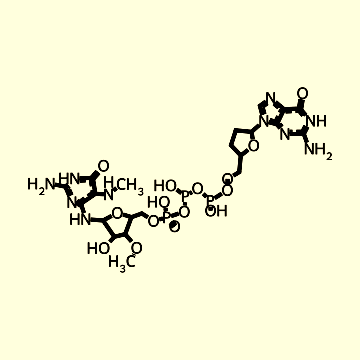 CNc1c(NC2OC(COP(=O)(O)OP(O)OP(O)OOCC3CCC(n4cnc5c(=O)[nH]c(N)nc54)O3)C(OC)C2O)nc(N)[nH]c1=O